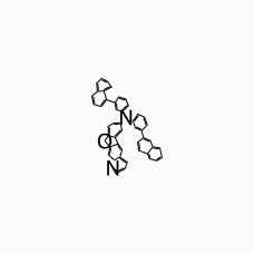 c1cc(-c2ccc3ccccc3c2)cc(N(c2cccc(-c3cccc4ccccc34)c2)c2ccc3oc4cc5ncccc5cc4c3c2)c1